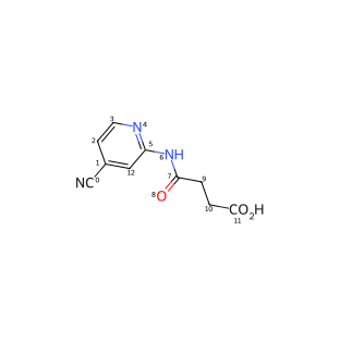 N#Cc1ccnc(NC(=O)CCC(=O)O)c1